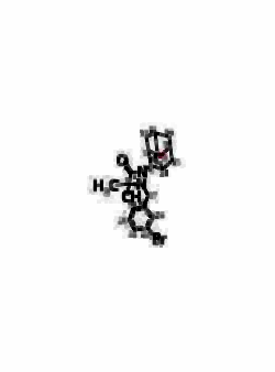 CC1(C)C(=O)N(C2C3CC4CC(C3)CC2C4)N1Cc1cccc(Br)c1